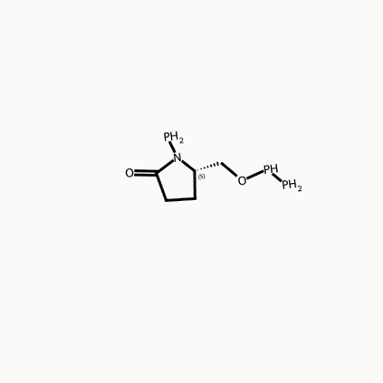 O=C1CC[C@@H](COPP)N1P